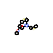 c1ccc(-c2nc(-c3ccc4sc5ccccc5c4c3)nc(-c3cccc4sc5ccc(-c6ccc(-c7nc8ccccc8o7)cc6)cc5c34)n2)cc1